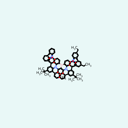 CCc1ccc2c(c1)c1cc(CC)ccc1n2-c1ccc2c(c1)N(c1c(-c3ccccc3)cc(C(C)(C)C)cc1-c1ccccc1)c1cc(C)cc3c1B2c1ccc(-n2c4ccccc4c4ccccc42)cc1N3c1c(-c2ccccc2)cc(C(C)(C)C)cc1-c1ccccc1